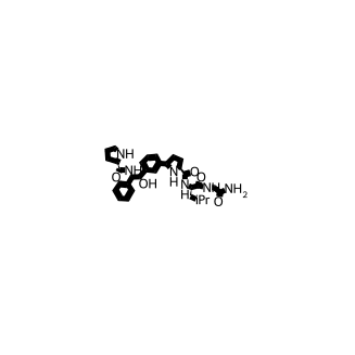 CC(C)C[C@H](NC(=O)[C@@H]1CCC(c2cccc([C@H](O)[C@@H](NC(=O)[C@@H]3CCCN3)c3ccccc3)c2)N1)C(=O)NCC(N)=O